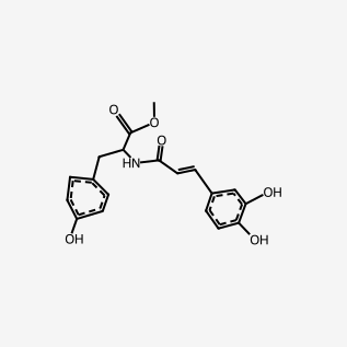 COC(=O)C(Cc1ccc(O)cc1)NC(=O)C=Cc1ccc(O)c(O)c1